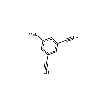 C#Cc1cc(C#C)cc(NC)c1